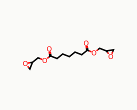 O=C(CCCCCC(=O)OCC1CO1)OCC1CO1